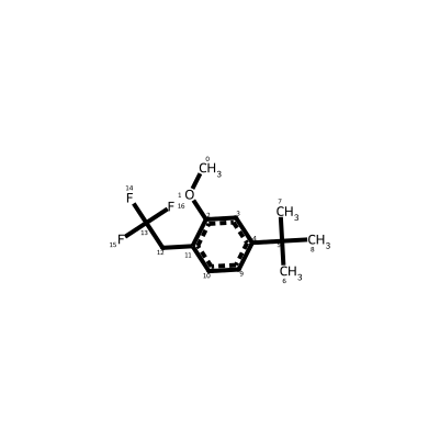 COc1cc(C(C)(C)C)ccc1CC(F)(F)F